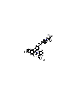 CC/C(=C(/c1ccc(OCCNC/C=C/C(=O)N(C)C)cc1)c1ccc2[nH]ncc2c1)c1ccccc1OC(F)(F)F